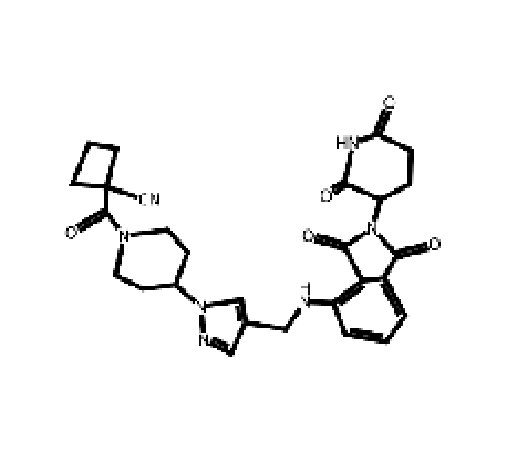 N#CC1(C(=O)N2CCC(n3cc(CNc4cccc5c4C(=O)N(C4CCC(=O)NC4=O)C5=O)cn3)CC2)CCC1